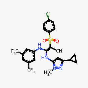 Cn1nc(C2CC2)cc1N/C(Nc1cc(C(F)(F)F)cc(C(F)(F)F)c1)=C(\C#N)S(=O)(=O)c1ccc(Cl)cc1